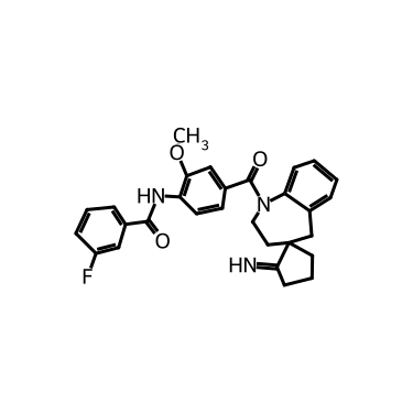 COc1cc(C(=O)N2CCC3(CCCC3=N)Cc3ccccc32)ccc1NC(=O)c1cccc(F)c1